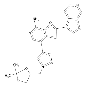 CC1(C)OCC(Cn2cc(-c3cnc(N)c4oc(-c5csc6cnccc56)cc34)cn2)O1